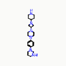 C1=CN(c2ccc(N3CCN(C4CN(C5CCNCC5)C4)CC3)cc2)CNC1